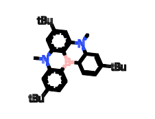 CN1c2cc(C(C)(C)C)ccc2B2c3c1cc(C(C)(C)C)cc3N(C)C1C=C(C(C)(C)C)C=CC21